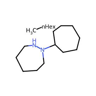 C1CCCC(N2CCCCCN2)CC1.CCCCCCC